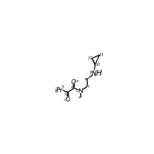 CC(C)C(=O)C(=O)N(C)CCNC1CC1